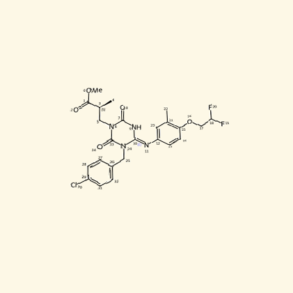 COC(=O)[C@@H](C)Cn1c(=O)[nH]/c(=N\c2ccc(OCC(F)F)c(C)c2)n(Cc2ccc(Cl)cc2)c1=O